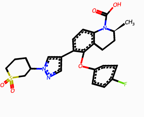 C[C@H]1CCc2c(ccc(-c3cnn(C4CCCS(=O)(=O)C4)c3)c2Oc2ccc(F)cc2)N1C(=O)O